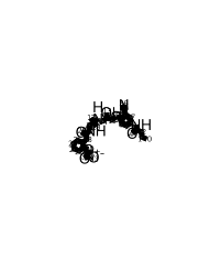 CCCC(=O)Nc1ccc(OCC(O)CNC(C)(C)CNC(=O)CC2CCCCC2O[N+](=O)[O-])c(C#N)c1